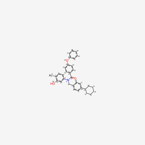 CC(=O)c1ccc(N(Cc2ccc(C3CCCCC3)cc2)C(=O)c2ccc(Oc3ccccc3)cc2)cc1O